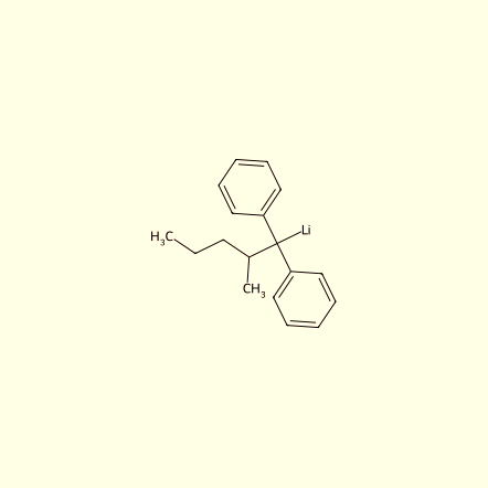 [Li][C](c1ccccc1)(c1ccccc1)C(C)CCC